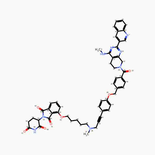 CNc1nc(-c2cnc3ccccc3c2)nc2c1CCN(C(=O)c1ccc(COc3ccc(C#CCN(C)CCCCCOc4cccc5c4C(=O)N(C4CCC(=O)NC4=O)C5=O)cc3)cc1)C2